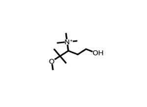 COC(C)(C)C(CCO)[N+](C)(C)C